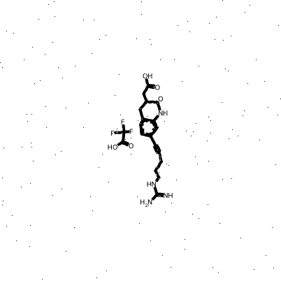 N=C(N)NCCCC#Cc1ccc2c(c1)NC(=O)C(CC(=O)O)C2.O=C(O)C(F)(F)F